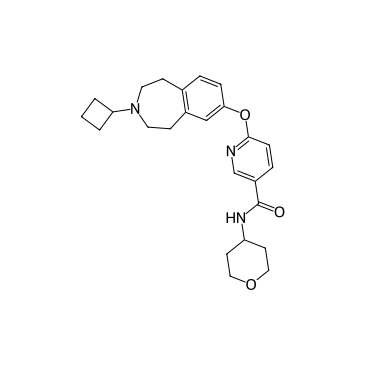 O=C(NC1CCOCC1)c1ccc(Oc2ccc3c(c2)CCN(C2CCC2)CC3)nc1